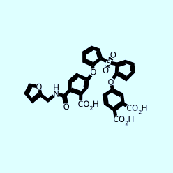 O=C(O)c1ccc(Oc2ccccc2S(=O)(=O)c2ccccc2Oc2ccc(C(=O)NCc3ccco3)c(C(=O)O)c2)cc1C(=O)O